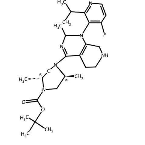 CC(C)c1nccc(F)c1N1C2=C(CCNC2)C(N2C[C@@H](C)N(C(=O)OC(C)(C)C)C[C@@H]2C)=NC1C